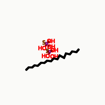 CCCCCCCCCCCCCCCCCC.OP(O)(O)=S.OP(O)(O)=S